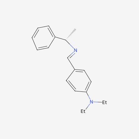 CCN(CC)c1ccc(/C=N/[C@@H](C)c2ccccc2)cc1